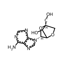 Nc1ncnc2c1ncn2[C@@H]1O[C@]2(CO)COC1C2O